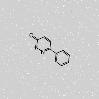 O=C1C=CC(c2ccccc2)=N[N]1